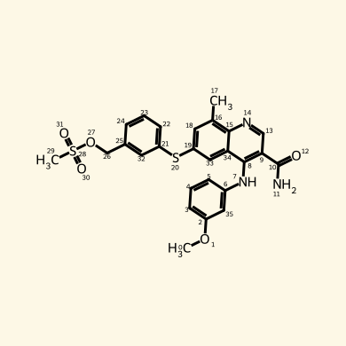 COc1cccc(Nc2c(C(N)=O)cnc3c(C)cc(Sc4cccc(COS(C)(=O)=O)c4)cc23)c1